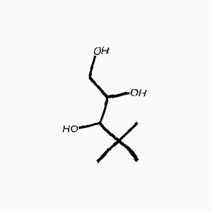 CC(C)(C)C(O)C(O)CO